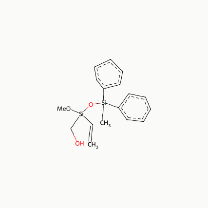 C=C[Si](CO)(OC)O[Si](C)(c1ccccc1)c1ccccc1